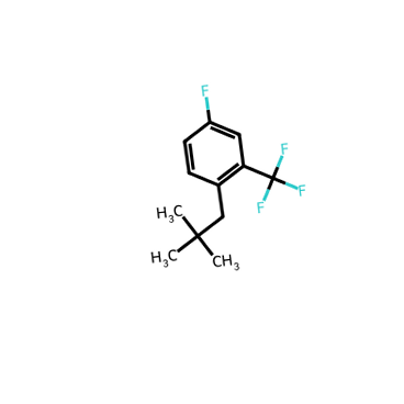 CC(C)(C)Cc1ccc(F)cc1C(F)(F)F